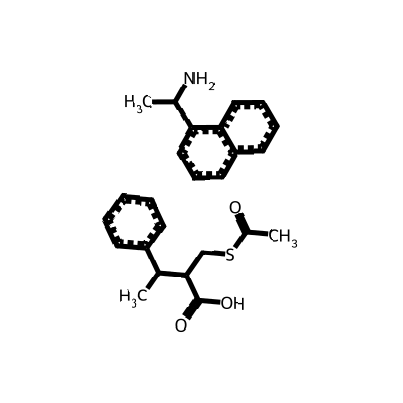 CC(=O)SCC(C(=O)O)C(C)c1ccccc1.CC(N)c1cccc2ccccc12